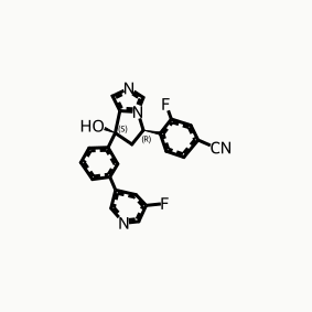 N#Cc1ccc([C@H]2C[C@](O)(c3cccc(-c4cncc(F)c4)c3)c3cncn32)c(F)c1